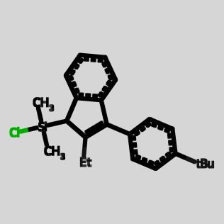 CCC1=C(c2ccc(C(C)(C)C)cc2)c2ccccc2C1[Si](C)(C)Cl